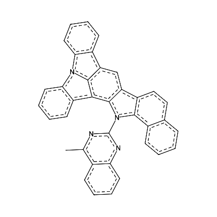 Cc1nc(-n2c3c4ccccc4ccc3c3cc4c5ccccc5n5c6ccccc6c(c32)c45)nc2ccccc12